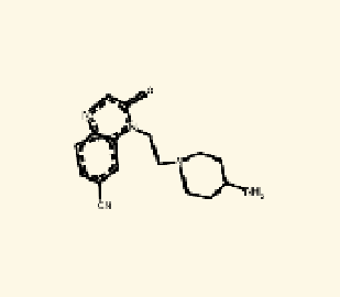 N#Cc1ccc2ncc(=O)n(CCN3CCC(N)CC3)c2c1